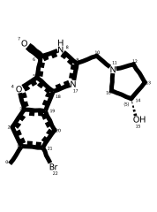 Cc1cc2oc3c(=O)[nH]c(CN4CC[C@H](O)C4)nc3c2cc1Br